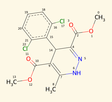 COC(=O)C1=NNC(C)=C(C(=O)OC)C1c1c(Cl)cccc1Cl